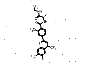 C[C@@H](NC(=O)c1ccc(/C(F)=C/C(c2ccc(C(F)(F)F)c(F)c2)C(F)(F)F)cc1C(F)(F)F)C(=O)NCC(F)(F)F